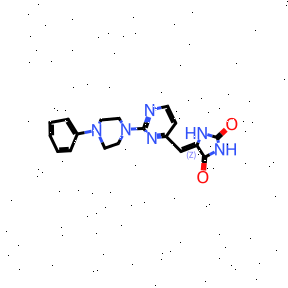 O=C1NC(=O)/C(=C/c2ccnc(N3CCN(c4ccccc4)CC3)n2)N1